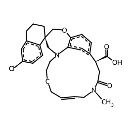 CN1C/C=C/CCCCN2C[C@@]3(CCCc4cc(Cl)ccc43)COc3ccc(cc32)[C@@H](C(=O)O)CC1=O